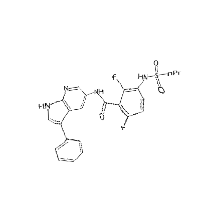 CCCS(=O)(=O)Nc1ccc(F)c(C(=O)Nc2cnc3[nH]cc(-c4ccccc4)c3c2)c1F